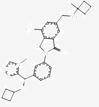 Cn1cnnc1[C@H](OC1CCC1)c1cccc(N2Cc3c(cc(CNC4(C)CCC4)cc3C(F)(F)F)C2=O)c1